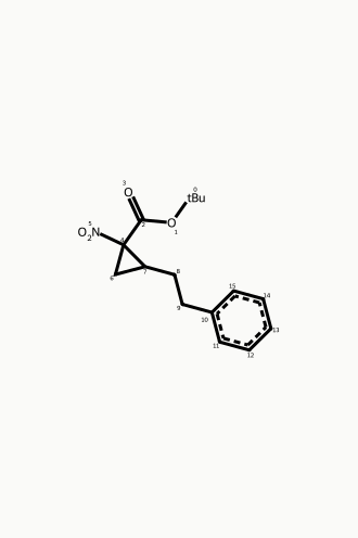 CC(C)(C)OC(=O)C1([N+](=O)[O-])CC1CCc1ccccc1